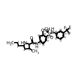 CCCC1CC(C)C(C(=O)Nc2ccc(S(=O)(=O)Nc3cccc(C(F)(F)F)c3)c(OC)c2)N1